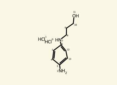 Cl.Cl.Nc1ccc(NCCCO)cc1